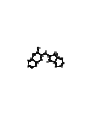 O=c1oc2ccccc2cc1Sc1nc2ccccc2[nH]1